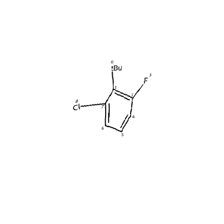 CC(C)(C)c1c(F)cccc1Cl